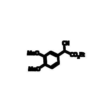 CCOC(=O)C(C#N)c1ccc(OC)c(OC)c1